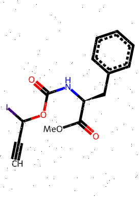 C#CC(I)OC(=O)N[C@@H](Cc1ccccc1)C(=O)OC